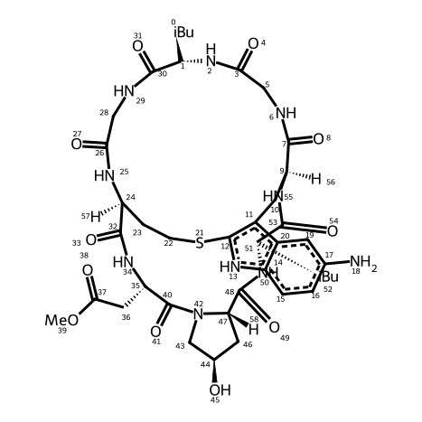 CC[C@H](C)[C@@H]1NC(=O)CNC(=O)[C@@H]2Cc3c([nH]c4ccc(N)cc34)SCC[C@H](NC(=O)CNC1=O)C(=O)N[C@@H](CC(=O)OC)C(=O)N1C[C@H](O)C[C@H]1C(=O)N[C@@H]([C@@H](C)CC)C(=O)N2